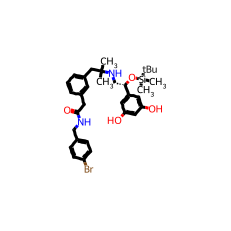 CC(C)(Cc1cccc(CC(=O)NCc2ccc(Br)cc2)c1)NC[C@H](O[Si](C)(C)C(C)(C)C)c1cc(O)cc(O)c1